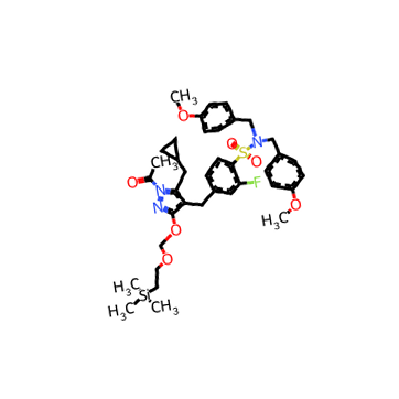 COc1ccc(CN(Cc2ccc(OC)cc2)S(=O)(=O)c2ccc(Cc3c(OCOCC[Si](C)(C)C)nn(C(C)=O)c3CC3CC3)cc2F)cc1